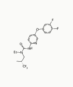 CCN(C[C@@H](C)C(F)(F)F)C(=O)Nc1ccc(Oc2ccc(F)c(F)c2)cn1